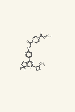 C[C@H]1CCN1c1nc(-c2ccc(OCC(=O)N3CCN(C(=O)OC(C)(C)C)CC3)nc2)c2c(n1)C(F)(F)CC2